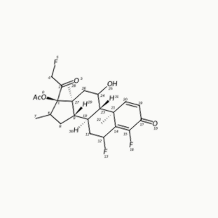 CC(=O)O[C@]1(C(=O)CF)C(C)C[C@H]2[C@@H]3CC(F)C4=C(F)C(=O)C=C[C@]4(C)[C@H]3C(O)C[C@@]21C